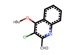 CCCCOc1c(Cl)c(C=O)nc2ccccc12